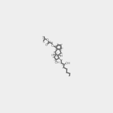 CCCCC[C@H](O)CC[C@@H]1[C@H]2Cc3cccc(OCC(=O)OC(C)C)c3C[C@H]2C[C@H]1O